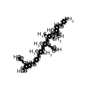 COc1cc(N=Nc2c(S(=O)(=O)O)cc3cc(NC(=O)c4ccc(N)cc4)ccc3c2O)c(OC)cc1N=Nc1cc(C)c(N=Nc2cc(C)c(N=Nc3ccc(C(=O)Nc4ccc5cc(S(=O)(=O)O)cc(OCCCS(=O)(=O)O)c5c4)cc3)cc2C)cc1OCCCS(=O)(=O)O